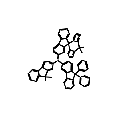 CC1(C)c2ccccc2-c2ccc(N(c3ccc4c(c3)-c3ccccc3C4(c3ccccc3)c3ccccc3)c3ccc4c(c3)C3(c5ccccc5-4)c4ccccc4C(C)(C)c4ccccc43)cc21